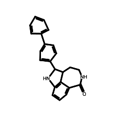 O=C1NCCC2c3c(cccc31)NC2c1ccc(-c2ccccc2)cc1